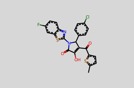 Cc1ccc(C(=O)C2=C(O)C(=O)N(c3nc4ccc(F)cc4s3)C2c2ccc(Cl)cc2)s1